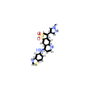 Cn1cc(C2=CS(=O)(=O)c3cc4c(Nc5ccc6scnc6c5)ccnc4cc32)cn1